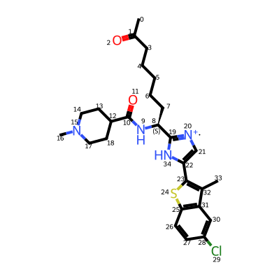 CC(=O)CCCCC[C@H](NC(=O)C1CCN(C)CC1)C1=[N+]C=C(c2sc3ccc(Cl)cc3c2C)N1